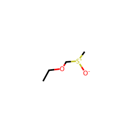 CCOC[S+](C)[O-]